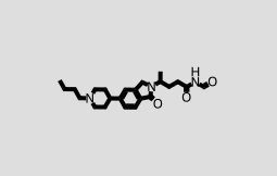 CCCCN1CCC(c2ccc3c(c2)CN(C(C)CCC(=O)NC=O)C3=O)CC1